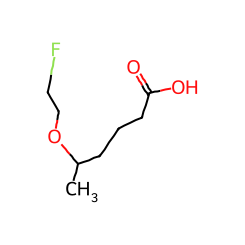 CC(CCCC(=O)O)OCCF